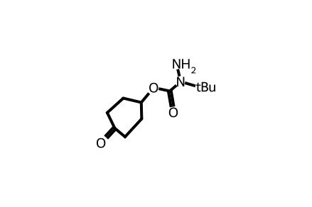 CC(C)(C)N(N)C(=O)OC1CCC(=O)CC1